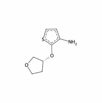 Nc1ccsc1O[C@@H]1CCOC1